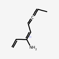 C=C/C(N)=C\C=C=CC